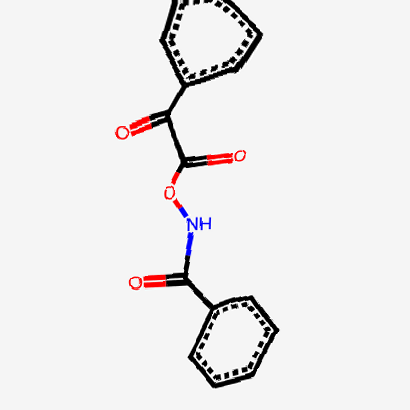 O=C(ONC(=O)c1ccccc1)C(=O)c1ccccc1